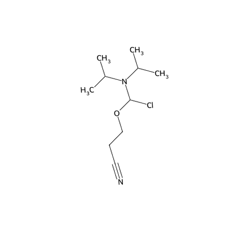 CC(C)N(C(C)C)C(Cl)OCCC#N